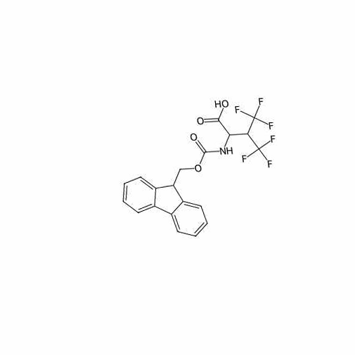 O=C(NC(C(=O)O)C(C(F)(F)F)C(F)(F)F)OCC1c2ccccc2-c2ccccc21